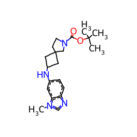 Cn1cnc2ccc(NC3CC4(CCN(C(=O)OC(C)(C)C)C4)C3)cc21